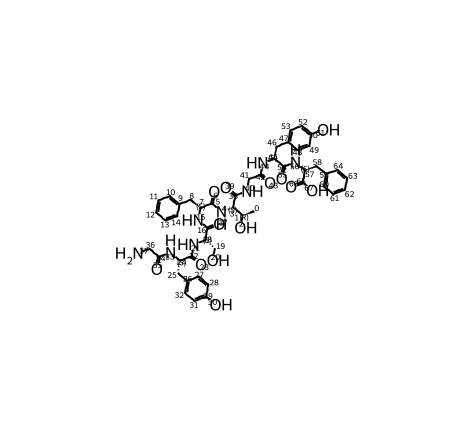 C[C@@H](O)[C@H](NC(=O)[C@H](Cc1ccccc1)NC(=O)[C@H](CO)NC(=O)[C@H](Cc1ccc(O)cc1)NC(=O)CN)C(=O)NCC(=O)N[C@@H](Cc1ccc(O)cc1)C(=O)N[C@@H](Cc1ccccc1)C(=O)O